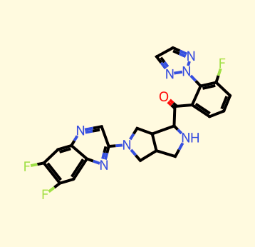 O=C(c1cccc(F)c1-n1nccn1)C1NCC2CN(c3cnc4cc(F)c(F)cc4n3)CC21